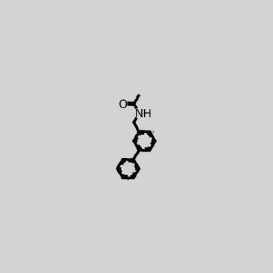 CC(=O)NCc1[c]ccc(-c2ccccc2)c1